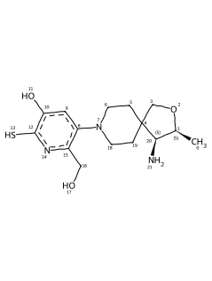 C[C@@H]1OCC2(CCN(c3cc(O)c(S)nc3CO)CC2)[C@@H]1N